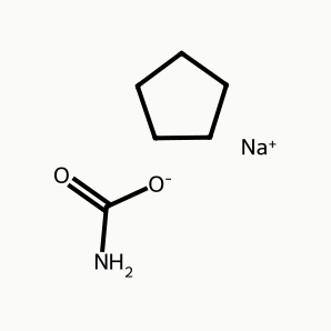 C1CCCC1.NC(=O)[O-].[Na+]